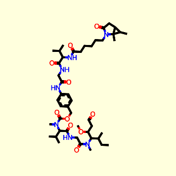 CCC(C)C(C(CC=O)OC)N(C)C(=O)CNC(=O)C(C(C)C)N(C)C(=O)OCc1ccc(NC(=O)CNC(=O)C(NC(=O)CCCCCN2C(=O)CC3C(C)C32C)C(C)C)cc1